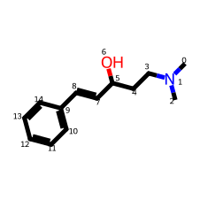 CN(C)CCC(O)C=Cc1ccccc1